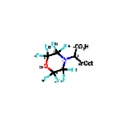 CCCCCCCCC(C(=O)O)N1C(F)(F)C(F)(F)OC(F)(F)C1(F)F